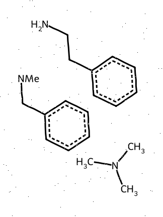 CN(C)C.CNCc1ccccc1.NCCc1ccccc1